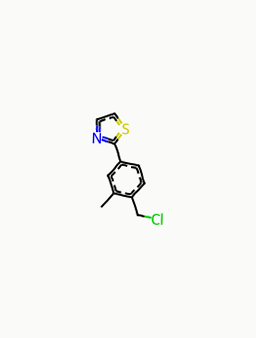 Cc1cc(-c2nccs2)ccc1CCl